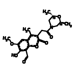 COc1cc2c(C)c(CC(=O)N3C[C@H](C)O[C@@H](C)C3)c(=O)oc2c(C=O)c1O